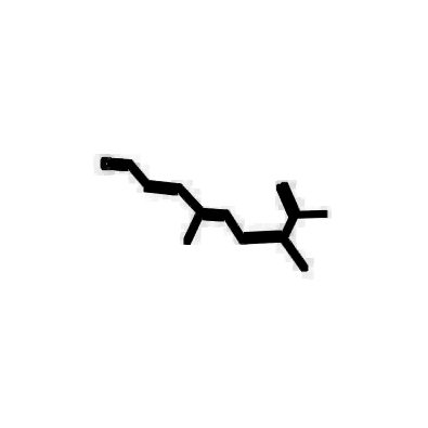 C=C(C)\C(C)=C/C=C(C)/C=C/C=O